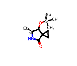 CC[C@@H]1NC(=O)C2(CC2)C1O[Si](C)(C)C(C)(C)C